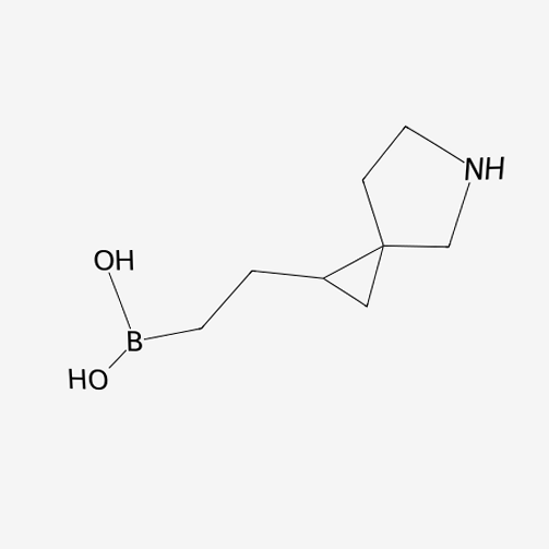 OB(O)CCC1CC12CCNC2